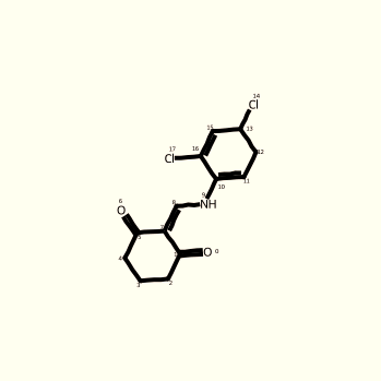 O=C1CCCC(=O)C1=CNC1=CCC(Cl)C=C1Cl